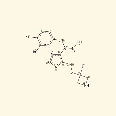 O/N=C(\Nc1ccc(F)c(Br)c1)c1nonc1NCC1(F)CNC1